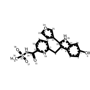 COc1ccc2c(Cc3cccc(C(=O)NS(C)(=O)=O)n3)c(-c3ccoc3)[nH]c2c1